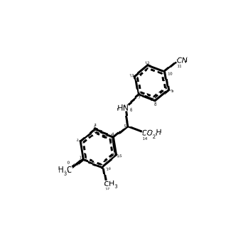 Cc1ccc(C(Nc2ccc(C#N)cc2)C(=O)O)cc1C